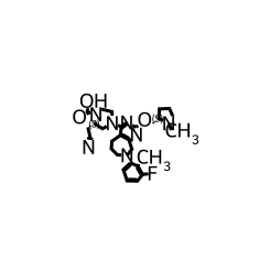 Cc1c(F)cccc1N1CCCc2c(nc(OC[C@@H]3CCCN3C)nc2N2CCN(C(=O)O)[C@@H](CC#N)C2)C1